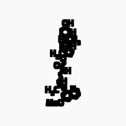 COc1cc(NC(C)CCCNC(=O)CO[C@H]2CC[C@H]3[C@@H]4CC[C@H]5C[C@@H](O)CC[C@]5(C)[C@H]4CC[C@]23C)c2ncccc2c1